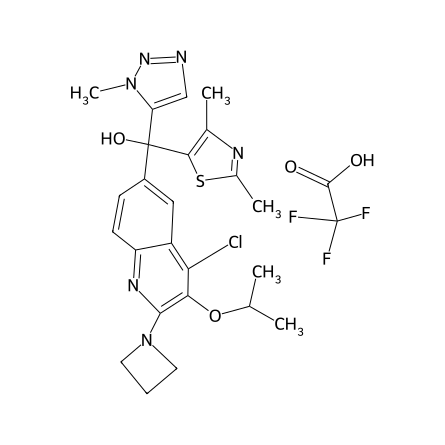 Cc1nc(C)c(C(O)(c2ccc3nc(N4CCC4)c(OC(C)C)c(Cl)c3c2)c2cnnn2C)s1.O=C(O)C(F)(F)F